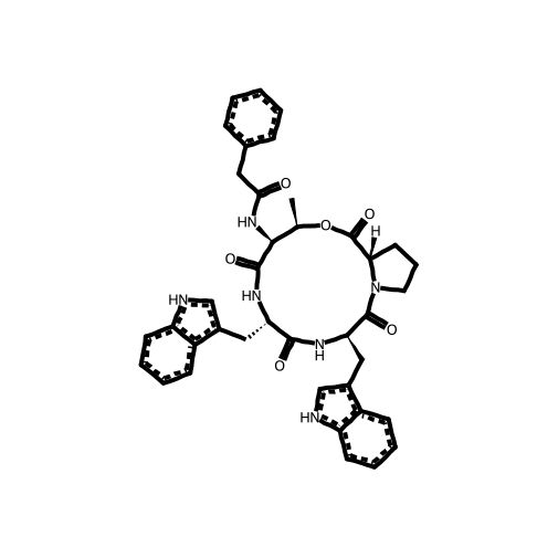 C[C@H]1OC(=O)[C@@H]2CCCN2C(=O)[C@@H](Cc2c[nH]c3ccccc23)NC(=O)[C@H](Cc2c[nH]c3ccccc23)NC(=O)[C@H]1NC(=O)Cc1ccccc1